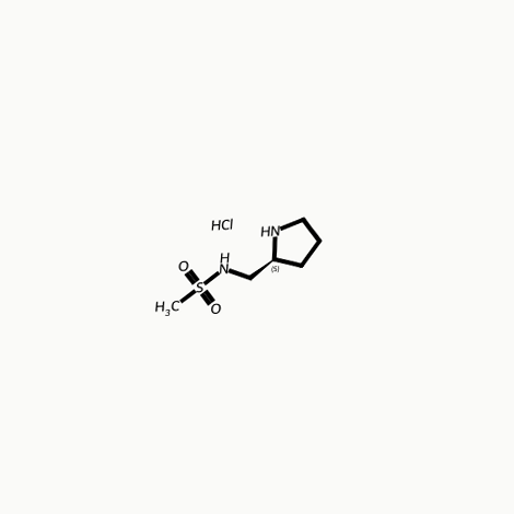 CS(=O)(=O)NC[C@@H]1CCCN1.Cl